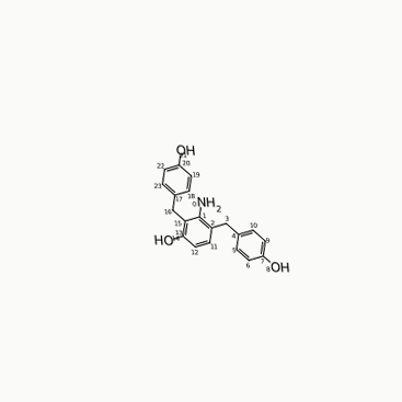 Nc1c(Cc2ccc(O)cc2)ccc(O)c1Cc1ccc(O)cc1